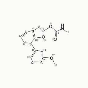 CNC(=O)OC1Cc2cccc(-c3cccc(OC)c3)c2O1